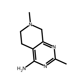 Cc1nc(N)c2c(n1)CN(C)CC2